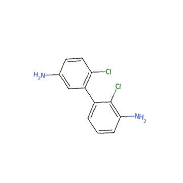 Nc1ccc(Cl)c(-c2cccc(N)c2Cl)c1